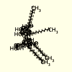 CCCCCCCCCCCCCC(=O)N[C@H]1[C@H](OC[C@H]2O[C@H](OCCOP(=O)(O)O)[C@H](NC(=O)CCCCCCCCCCCCC)[C@@H](OC(=O)CNC(=O)CCCCCCCCCCC)[C@@H]2O)O[C@H](CO)[C@@H](OP(=O)(O)O)[C@@H]1OC(=O)CNC(=O)CCCCCCCCCCC